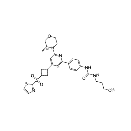 C[C@H]1COCCN1c1cc(C2CC(S(=O)(=O)c3nccs3)C2)nc(-c2ccc(NC(=O)NCCCO)cc2)n1